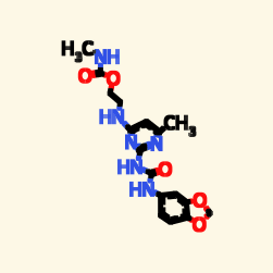 CNC(=O)OCCNc1cc(C)nc(NC(=O)Nc2ccc3c(c2)OCO3)n1